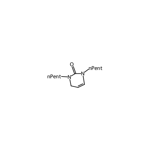 CCCCCN1C=CCN(CCCCC)C1=O